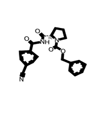 N#Cc1ccc(C(=O)NC(=O)[C@@H]2CCCN2C(=O)OCc2ccccc2)cc1